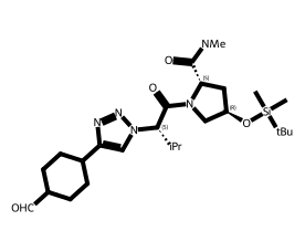 CNC(=O)[C@@H]1C[C@@H](O[Si](C)(C)C(C)(C)C)CN1C(=O)[C@H](C(C)C)n1cc(C2CCC(C=O)CC2)nn1